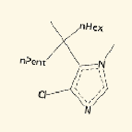 CCCCCCC(C)(CCCCC)c1c(Cl)ncn1C